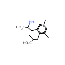 Cc1cc(C)c(CC(C)C(=O)O)c(CC(N)C(=O)O)c1